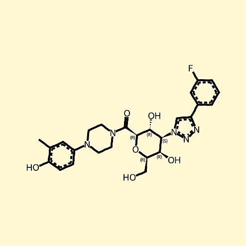 Cc1cc(N2CCN(C(=O)[C@@H]3O[C@H](CO)[C@H](O)[C@H](n4cc(-c5cccc(F)c5)nn4)[C@H]3O)CC2)ccc1O